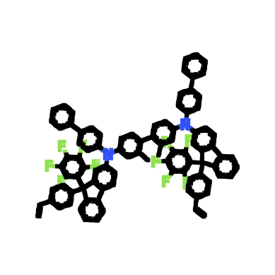 C=Cc1ccc(C2(c3c(F)c(F)c(F)c(F)c3F)c3ccccc3-c3ccc(N(c4ccc(-c5ccccc5)cc4)c4ccc(-c5ccc(N(c6ccc(-c7ccccc7)cc6)c6ccc7c(c6)C(c6ccc(C=C)cc6)(c6c(F)c(F)c(F)c(F)c6F)c6ccccc6-7)cc5C)c(C)c4)cc32)cc1